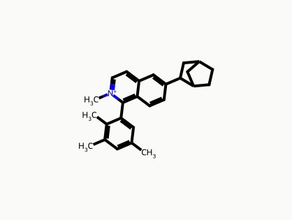 Cc1cc(C)c(C)c(-c2c3ccc(C4CC5CCC4C5)cc3cc[n+]2C)c1